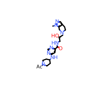 CC(=O)N1CCC(Nc2cc(C(=O)NC[C@H](O)CN3CCc4cnn(C)c4C3)ncn2)CC1